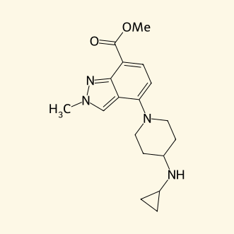 COC(=O)c1ccc(N2CCC(NC3CC3)CC2)c2cn(C)nc12